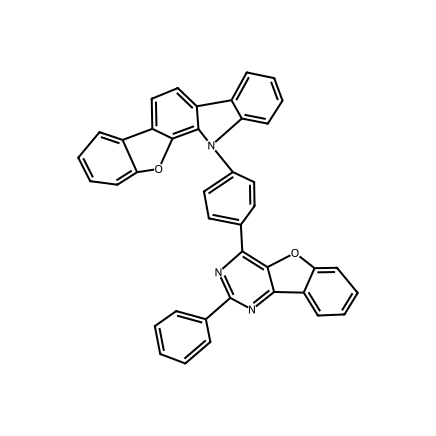 c1ccc(-c2nc(-c3ccc(-n4c5ccccc5c5ccc6c7ccccc7oc6c54)cc3)c3oc4ccccc4c3n2)cc1